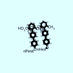 CCCCCCOc1ccc(-c2ccc(C3C(C)CCCC3(C#N)C(=O)O)cc2)cc1.CCCCCOc1ccc(-c2ccc(C3C(C)CCCC3(C#N)C(=O)O)cc2)cc1